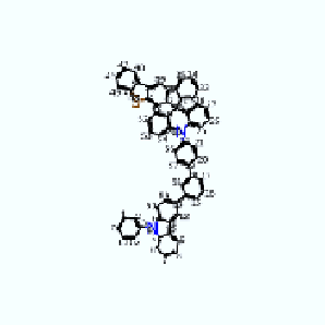 c1ccc(-n2c3ccccc3c3cc(-c4cccc(-c5ccc(N6c7ccccc7C(c7ccccc7)(c7ccc8c(c7)sc7ccccc78)c7ccccc76)cc5)c4)ccc32)cc1